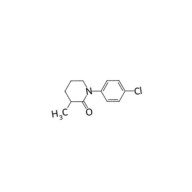 CC1CCCN(c2ccc(Cl)cc2)C1=O